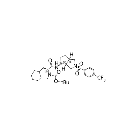 CN(C(=O)OC(C)(C)C)[C@@H](CC1CCCCC1)C(=O)N[C@H]1CC[C@@H]2CN(S(=O)(=O)c3ccc(C(F)(F)F)cc3)C[C@@H]21